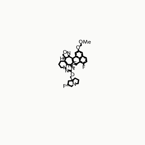 C#Cc1c(F)ccc2cc(OCOC)cc(C3=C(F)C4=NC(OC[C@@]56CCCN5C[C@H](F)C6)=NN5CCCC(=C45)[C@@H]4CON=C34)c12